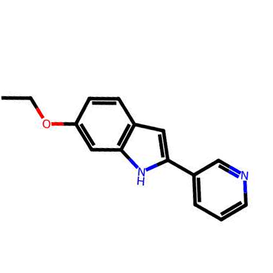 CCOc1ccc2cc(-c3cccnc3)[nH]c2c1